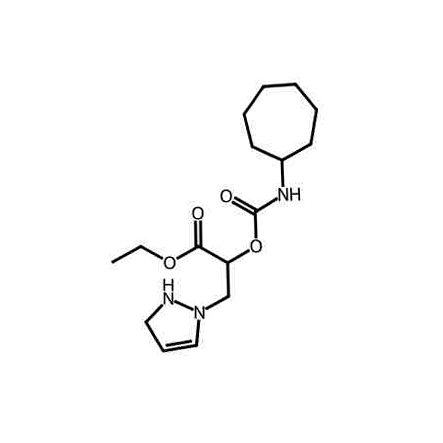 CCOC(=O)C(CN1C=CCN1)OC(=O)NC1CCCCCC1